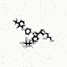 BC(B)(B)C(B)(B)Nc1cc2c(cn1)c(-c1cnn(C[C@@H](O)CO)c1)nn2[C@H]1CC[C@@H](Oc2nccc(C(F)(F)F)c2F)CC1